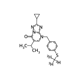 [2H]C([2H])([2H])Sc1ccc(Cn2cc(C(C)C)c(=O)n3nc(C4CC4)nc23)cc1